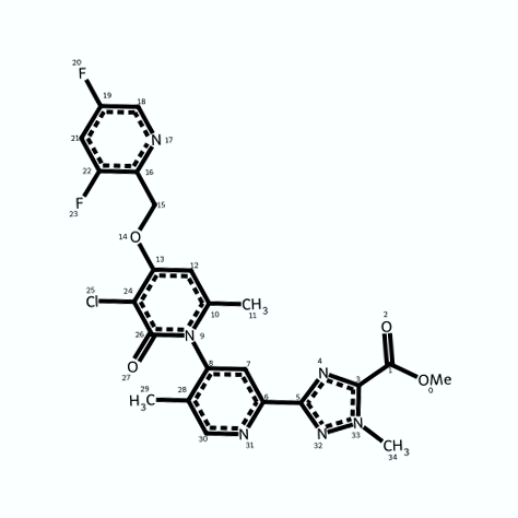 COC(=O)c1nc(-c2cc(-n3c(C)cc(OCc4ncc(F)cc4F)c(Cl)c3=O)c(C)cn2)nn1C